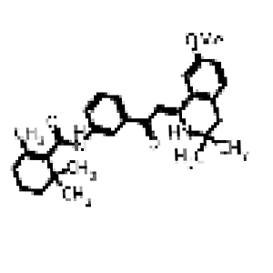 COc1ccc2c(c1)C(=CC(=O)c1cccc(NC(=O)C3=C(C)CCCC3(C)C)c1)NC(C)(C)C2